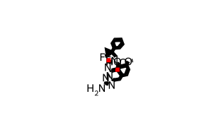 COc1ccc(Cc2nc(N)nn2-c2cc(=O)n(CC3(c4ccccc4)CC3(F)F)cn2)cc1O